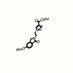 COC(=O)c1cn(CCN2Cc3cc(OC)ccc3C2=O)nn1